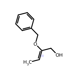 C/C=C(/CO)OCc1ccccc1